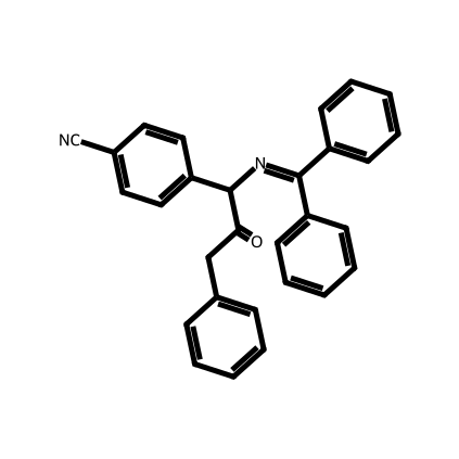 N#Cc1ccc(C(N=C(c2ccccc2)c2ccccc2)C(=O)Cc2ccccc2)cc1